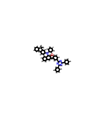 CC1(C)c2ccccc2-c2ccc(N(c3ccccc3)c3c4ccccc4cc4c3oc3ccc(-c5nc(-c6ccccc6)nc(-c6ccccc6)n5)cc34)cc21